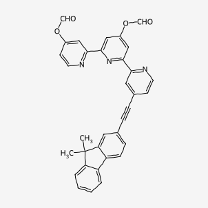 CC1(C)c2ccccc2-c2ccc(C#Cc3ccnc(-c4cc(OC=O)cc(-c5cc(OC=O)ccn5)n4)c3)cc21